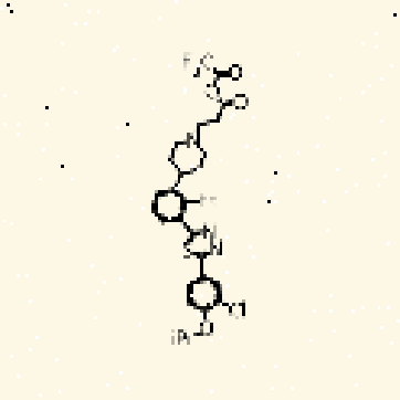 CCc1c(-c2nnc(-c3ccc(OC(C)C)c(Cl)c3)s2)cccc1C1CCN(CCC(=O)OC(=O)C(F)(F)F)CC1